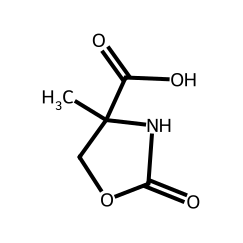 CC1(C(=O)O)COC(=O)N1